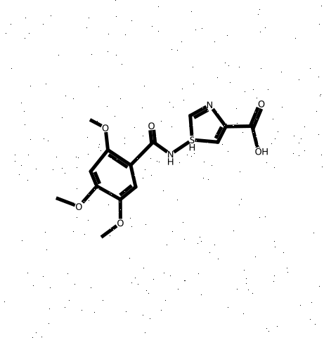 COc1cc(OC)c(C(=O)N[SH]2C=NC(C(=O)O)=C2)cc1OC